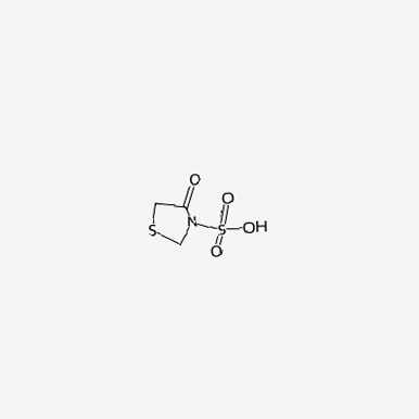 O=C1CSCN1S(=O)(=O)O